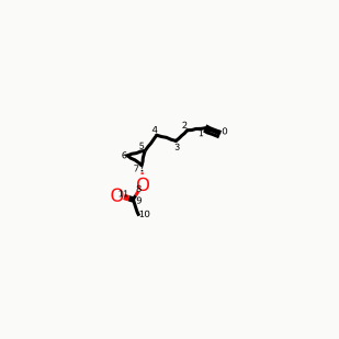 C#CCCCC1C[C@H]1OC(C)=O